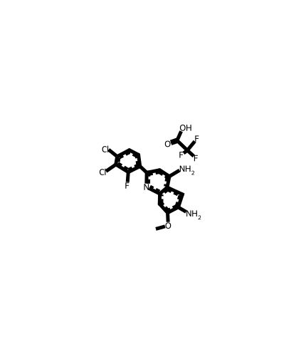 COc1cc2nc(-c3ccc(Cl)c(Cl)c3F)cc(N)c2cc1N.O=C(O)C(F)(F)F